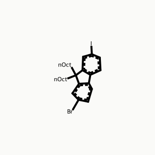 CCCCCCCCC1(CCCCCCCC)c2cc(Br)ccc2-c2ccc(I)cc21